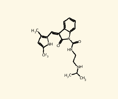 Cc1cc(C)c(/C=C2\C(=O)N(C(=O)NCCNC(C)C)c3ccccc32)[nH]1